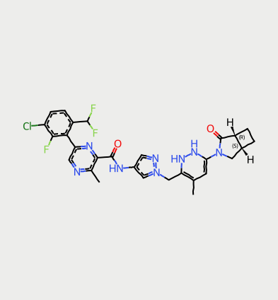 CC1=C(Cn2cc(NC(=O)c3nc(-c4c(C(F)F)ccc(Cl)c4F)cnc3C)cn2)NNC(N2C[C@H]3CC[C@H]3C2=O)=C1